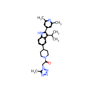 Cc1cc(-c2[nH]c3ccc(C4CCN(C(=O)Cn5nnnc5C)CC4)cc3c2C(C)C)cc(C)n1